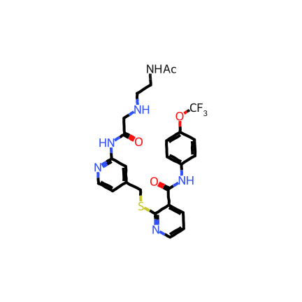 CC(=O)NCCNCC(=O)Nc1cc(CSc2ncccc2C(=O)Nc2ccc(OC(F)(F)F)cc2)ccn1